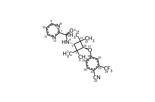 CC1(C)[C@H](NC(=O)c2ncccn2)C(C)(C)[C@H]1Oc1ccc(C#N)c(C(F)(F)F)c1